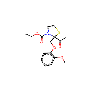 CCOC(=O)N1CCSC1(COc1ccccc1OC)C(C)=O